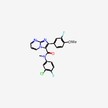 COc1ccc(-c2nc3ncccn3c2C(=O)N(C)c2ccc(F)c(Cl)c2)cc1F